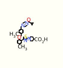 Cc1ccc(OCc2ccc(CN3CCN(C(=O)C4CC4)CC3)cc2C)c(-c2csc(N3CCC(C(=O)O)CC3)n2)c1